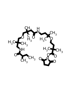 CCC(C)C(=O)NCC(C)(C)COCC(C)(C)CC(=O)NCCC(C)(C)OCCC(C)(C)C(=O)ON1C(=O)CCC1=O